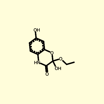 CCOC1(O)Oc2cc(O)ccc2NC1=O